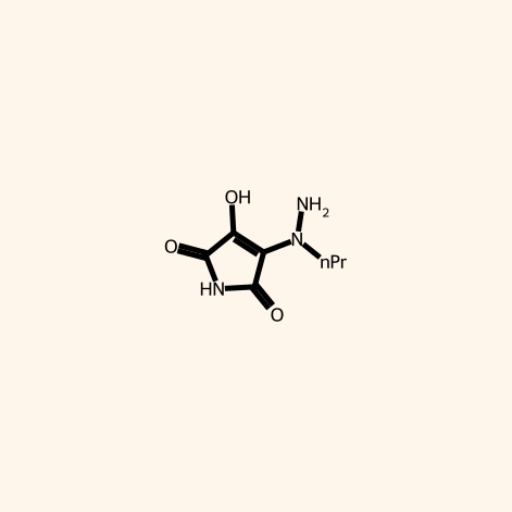 CCCN(N)C1=C(O)C(=O)NC1=O